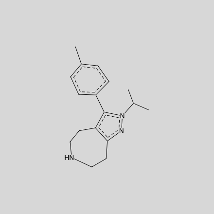 Cc1ccc(-c2c3c(nn2C(C)C)CCNCC3)cc1